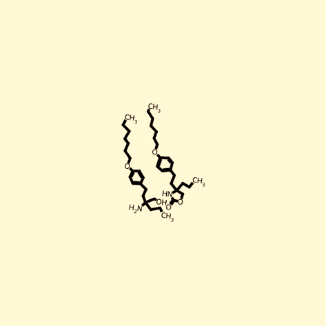 CCCCCCCOc1ccc(CCC(N)(CO)CCC)cc1.CCCCCCCOc1ccc(CCC2(CCC)COC(=O)N2)cc1